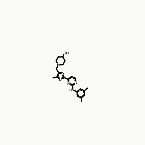 Cc1cc(C)cc(Nc2nccc(-c3nc(C)c(CN4CCC(O)CC4)s3)n2)c1